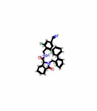 N#Cc1cc(F)c(CNC(=O)C2c3ccccc3C(=O)N2Cc2ccccc2-c2ccccc2)c(F)c1